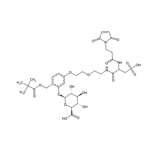 CC(C)(C)C(=O)OCc1ccc(OCCOCCNC(=O)C(CS(=O)(=O)O)NC(=O)CCN2C(=O)C=CC2=O)cc1O[C@@H]1O[C@H](C(=O)O)[C@@H](O)[C@H](O)[C@H]1O